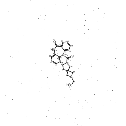 CCN1CC2(CCN(C(=O)N3c4ccccc4C(=O)Nc4cccnc43)C2)C1